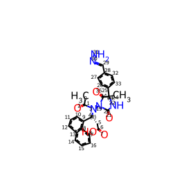 CC(=O)N([C@H](CC(=O)O)c1cccc2ccccc12)N1C(=O)N[C@](C)(c2ccc(C=NN)cc2)C1=O